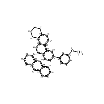 COc1cccc(-c2ccc3ccc4c5c(ccc4c3c2)CCCC5)c1.c1ccc2cc3ccccc3cc2c1